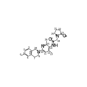 Cc1ccc2c(c1)CCN(c1cc(C)c(NC(=O)CN3CCCC3=O)c(C)n1)C2